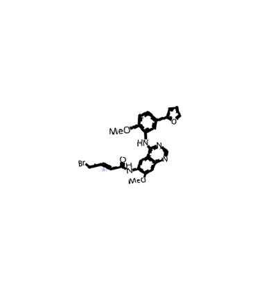 COc1cc2ncnc(Nc3cc(-c4ccco4)ccc3OC)c2cc1NC(=O)/C=C/CBr